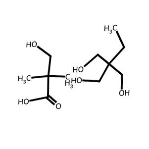 CC(C)(CO)C(=O)O.CCC(CO)(CO)CO